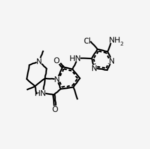 Cc1cc(Nc2ncnc(N)c2Cl)c(=O)n2c1C(=O)NC21CN(C)CCC1(C)C